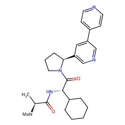 CN[C@@H](C)C(=O)N[C@H](C(=O)N1CCC[C@H]1c1cncc(-c2ccncc2)c1)C1CCCCC1